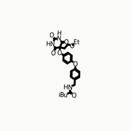 CCOCCC1(Oc2ccc(Oc3ccc(CNC(=O)C(C)CC)cc3)cc2)C(=O)NC(=O)NC1=O